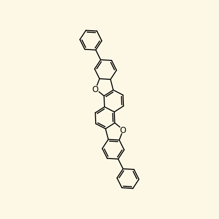 C1=CC2c3ccc4c(ccc5c6ccc(-c7ccccc7)cc6oc45)c3OC2C=C1c1ccccc1